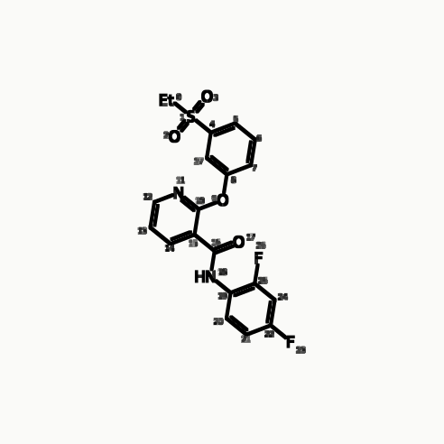 CCS(=O)(=O)c1cccc(Oc2ncccc2C(=O)Nc2ccc(F)cc2F)c1